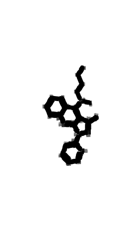 CCCCN(C)c1c2ccccc2nc2c1c(C)nn2-c1ccccn1